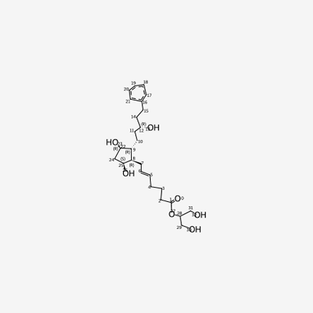 O=C(CCCC=CC[C@@H]1[C@@H](CC[C@@H](O)CCc2ccccc2)[C@H](O)C[C@@H]1O)OC(CO)CO